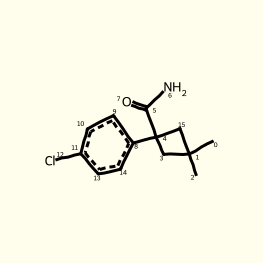 CC1(C)CC(C(N)=O)(c2ccc(Cl)cc2)C1